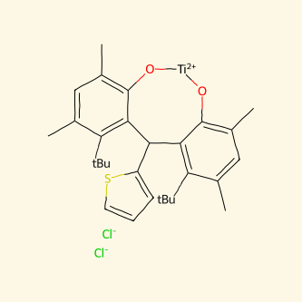 Cc1cc(C)c(C(C)(C)C)c2c1[O][Ti+2][O]c1c(C)cc(C)c(C(C)(C)C)c1C2c1cccs1.[Cl-].[Cl-]